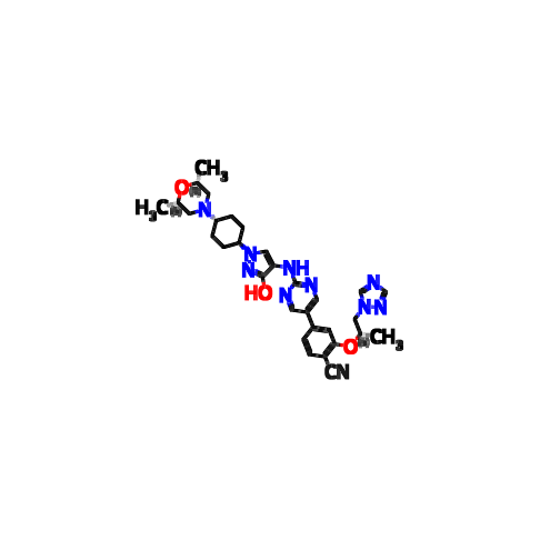 C[C@@H]1CN([C@H]2CC[C@H](n3cc(Nc4ncc(-c5ccc(C#N)c(O[C@@H](C)Cn6cncn6)c5)cn4)c(O)n3)CC2)C[C@H](C)O1